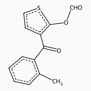 Cc1ccccc1C(=O)c1ccsc1OC=O